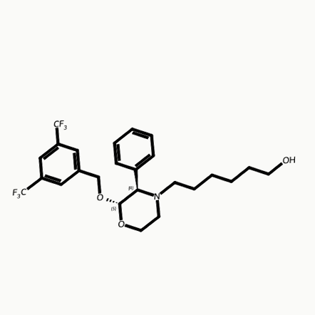 OCCCCCCN1CCO[C@H](OCc2cc(C(F)(F)F)cc(C(F)(F)F)c2)[C@H]1c1ccccc1